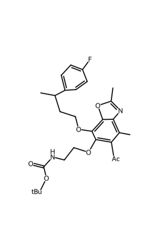 CC(=O)c1c(OCCNC(=O)OC(C)(C)C)c(OCCC(C)c2ccc(F)cc2)c2oc(C)nc2c1C